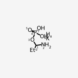 CCC(N)OP(=O)(O)O.[KH]